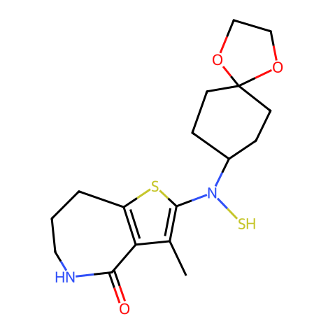 Cc1c(N(S)C2CCC3(CC2)OCCO3)sc2c1C(=O)NCCC2